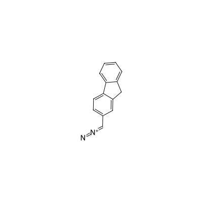 [N-]=[N+]=Cc1ccc2c(c1)Cc1ccccc1-2